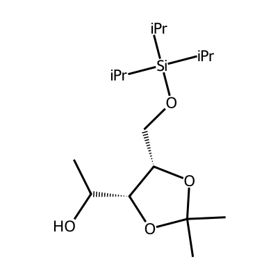 CC(O)[C@H]1OC(C)(C)O[C@H]1CO[Si](C(C)C)(C(C)C)C(C)C